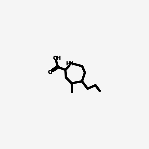 CCCC1CCNC(C(=O)O)CC1C